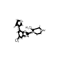 CC1CNCCN1c1nc2cc(Cl)cc(-c3ccsc3)c2o1